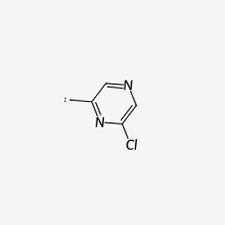 [CH]c1cncc(Cl)n1